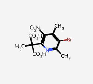 Cc1nc(C(C)(C(=O)O)C(=O)O)c([N+](=O)[O-])c(C)c1Br